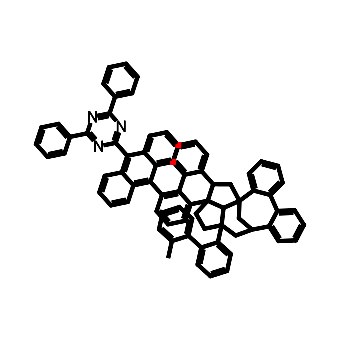 Cc1ccccc1-c1ccccc1C12CCC34c5cccc(-c6c7ccccc7c(-c7nc(-c8ccccc8)nc(-c8ccccc8)n7)c7ccccc67)c5-c5ccccc5C3CC3(CC(C1)c1ccccc1-c1ccccc13)C24